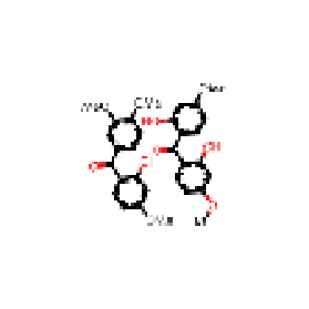 CCOc1ccc(C(=O)c2ccc(OC)cc2O)c(O)c1.COc1ccc(C(=O)c2ccc(OC)c(OC)c2)c(O)c1